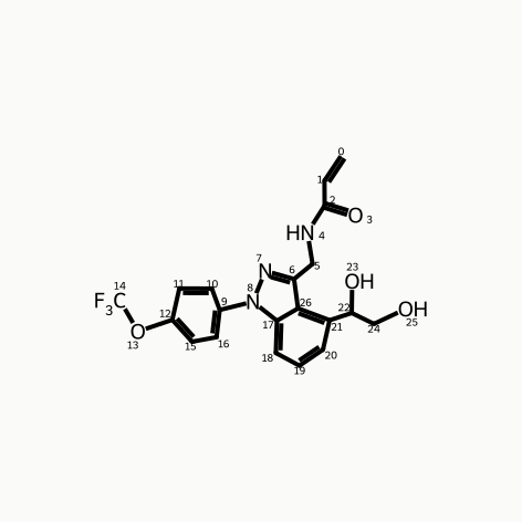 C=CC(=O)NCc1nn(-c2ccc(OC(F)(F)F)cc2)c2cccc(C(O)CO)c12